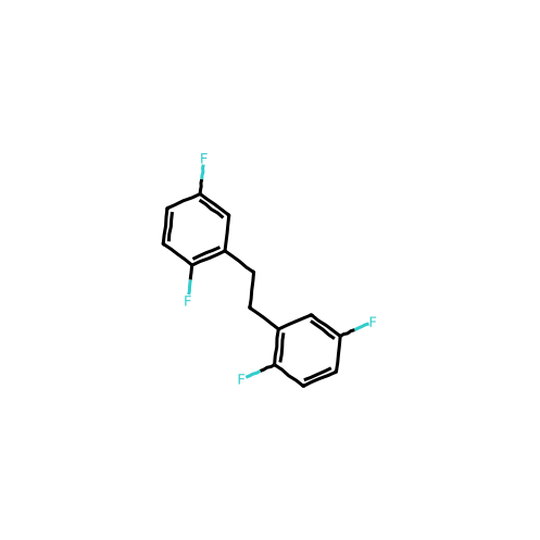 Fc1ccc(F)c(CCc2cc(F)ccc2F)c1